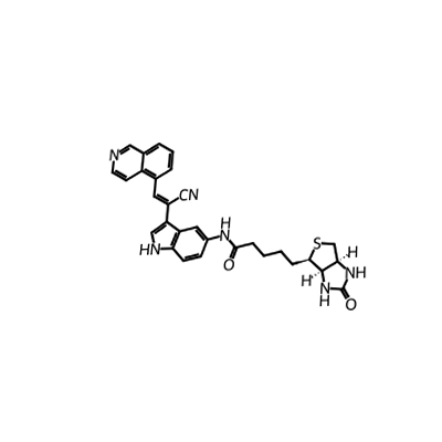 N#C/C(=C\c1cccc2cnccc12)c1c[nH]c2ccc(NC(=O)CCCC[C@H]3SC[C@H]4NC(=O)N[C@H]43)cc12